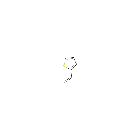 [CH]=Cc1cc[c]s1